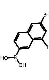 OB(O)c1ccc2cc(Br)cc(I)c2c1